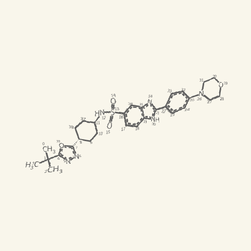 CC(C)(C)c1nnc([C@H]2CC[C@H](NS(=O)(=O)c3ccc4[nH]c(-c5ccc(N6CCOCC6)cc5)nc4c3)CC2)o1